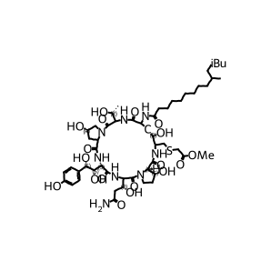 CCC(C)CC(C)CCCCCCCCC(=O)NC1C[C@@H](O)C(CSCC(=O)OC)NC(=O)[C@@H]2[C@@H](O)CCN2C(=O)C([C@H](O)CC(N)=O)NC(=O)[C@H]([C@H](O)[C@@H](O)c2ccc(O)cc2)NC(=O)C2C[C@@H](O)CN2C(=O)C([C@@H](C)O)NC1=O